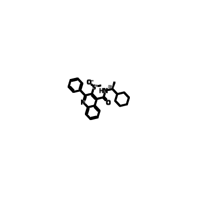 C[C@H](NC(=O)c1c([S+](C)[O-])c(-c2ccccc2)nc2ccccc12)C1CCCCC1